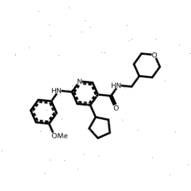 COc1cccc(Nc2cc(C3CCCC3)c(C(=O)NCC3CCOCC3)cn2)c1